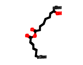 CCCCCCCCCCCCCCCC(=O)OC(=O)CCCCCCC(O)CCCCCCCCCC